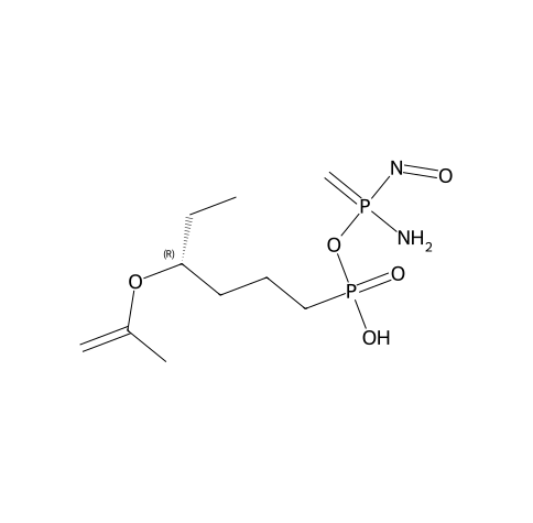 C=C(C)O[C@H](CC)CCCP(=O)(O)OP(=C)(N)N=O